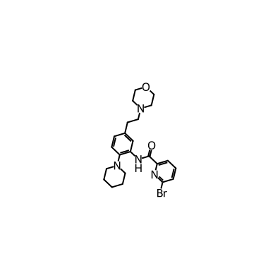 O=C(Nc1cc(CCN2CCOCC2)ccc1N1CCCCC1)c1cccc(Br)n1